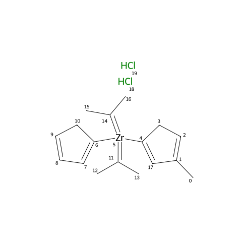 CC1=CC[C]([Zr]([C]2=CC=CC2)(=[C](C)C)=[C](C)C)=C1.Cl.Cl